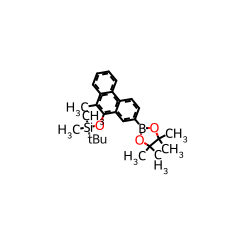 Cc1c(O[Si](C)(C)C(C)(C)C)c2cc(B3OC(C)(C)C(C)(C)O3)ccc2c2ccccc12